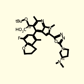 Cc1nc2c(cc(-c3nnc(N4CC[C@H](N(C)C)C4)o3)n2C)c(-c2cc(F)c3c(c2C)CCCO3)c1[C@H](OC(C)(C)C)C(=O)O